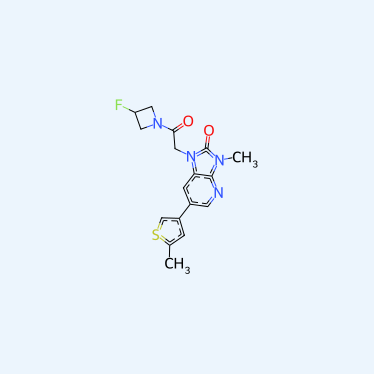 Cc1cc(-c2cnc3c(c2)n(CC(=O)N2CC(F)C2)c(=O)n3C)cs1